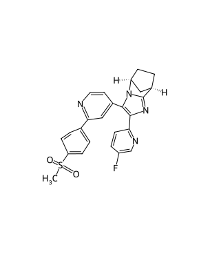 CS(=O)(=O)c1ccc(-c2cc(-c3c(-c4ccc(F)cn4)nc4n3[C@H]3CC[C@@H]4C3)ccn2)cc1